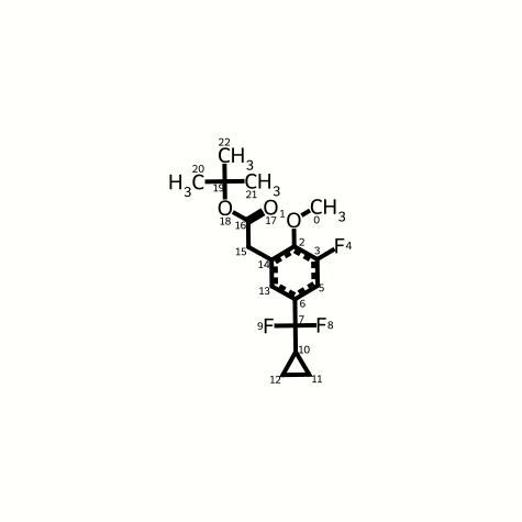 COc1c(F)cc(C(F)(F)C2CC2)cc1CC(=O)OC(C)(C)C